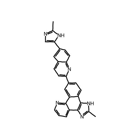 Cc1ncc(-c2ccc3nc(-c4ccc5c(c4)c4ncccc4c4nc(C)[nH]c54)ccc3c2)[nH]1